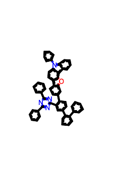 c1ccc(-c2nc(-c3ccccc3)nc(-c3cc(-c4ccccc4-c4ccccc4)ccc3-c3ccc4c(c3)oc3c4ccc4c3c3ccccc3n4-c3ccccc3)n2)cc1